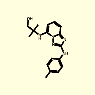 Cc1ccc(Nc2nc3cccc(NC(C)(C)CO)n3n2)cc1